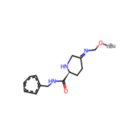 CCCCOC/N=C1\CC[C@@H](C(=O)NCc2ccccc2)NC1